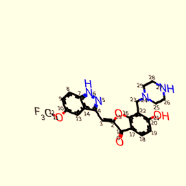 O=C1/C(=C/c2n[nH]c3ccc(OC(F)(F)F)cc23)Oc2c1ccc(O)c2CN1CCNCC1